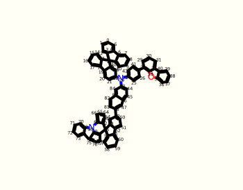 c1ccc2c(c1)-c1ccccc1C21c2ccccc2-c2ccc(N(c3ccc(-c4cccc5c4oc4ccccc45)cc3)c3ccc4cc(-c5ccc6c(c5)C5(c7ccccc7-6)c6ccccc6-n6c7ccccc7c7cccc5c76)ccc4c3)cc21